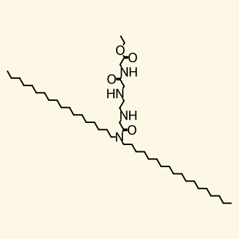 CCCCCCCCCCCCCCCCCCN(CCCCCCCCCCCCCCCCCC)C(=O)CNCCNCC(=O)NCC(=O)OCC